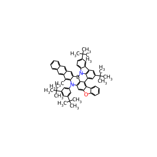 Cc1c2c(cc3cc4ccccc4cc13)B1c3c(cc4oc5ccccc5c4c3-c3cc(C(C)(C)C)cc4c5cc(C(C)(C)C)ccc5n1c34)N2c1cc(C(C)(C)C)cc(C(C)(C)C)c1